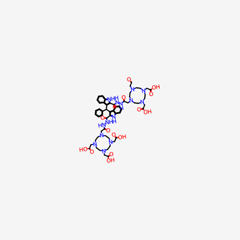 O=CCN1CCN(CC(=O)O)CCN(CC(=O)O)CCN(CC(=O)NNC(=O)c2[nH]c3ccccc3c2C(c2ccccc2)c2c(C(=O)NNC(=O)CN3CCN(CC(=O)O)CCN(CC(=O)O)CCN(CC(=O)O)CC3)[nH]c3ccccc23)CC1